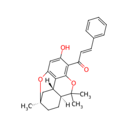 CC1(C)Oc2c(C(=O)/C=C/c3ccccc3)c(O)cc3c2[C@H]2C[C@@](C)(CC[C@@H]21)O3